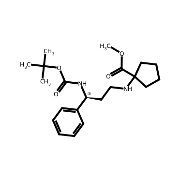 COC(=O)C1(NCC[C@H](NC(=O)OC(C)(C)C)c2ccccc2)CCCC1